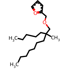 CCCCCCCC(C)(CCCCC)COCc1ccco1